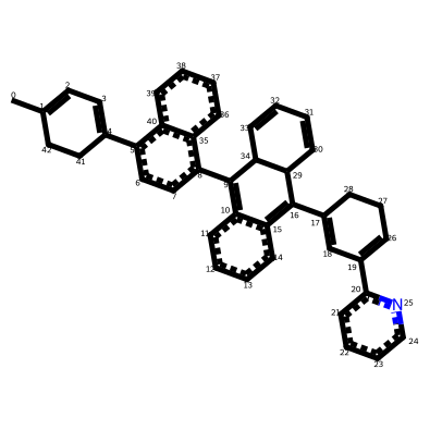 CC1=CC=C(c2ccc(C3=c4ccccc4=C(C4=CC(c5ccccn5)=CCC4)C4C=CC=CC34)c3ccccc23)CC1